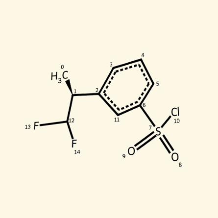 C[C@@H](c1cccc(S(=O)(=O)Cl)c1)C(F)F